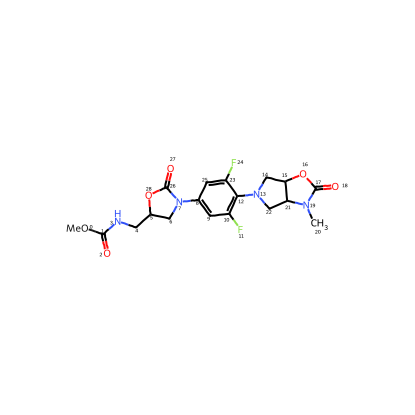 COC(=O)NCC1CN(c2cc(F)c(N3CC4OC(=O)N(C)C4C3)c(F)c2)C(=O)O1